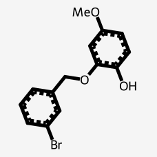 COc1ccc(O)c(OCc2cccc(Br)c2)c1